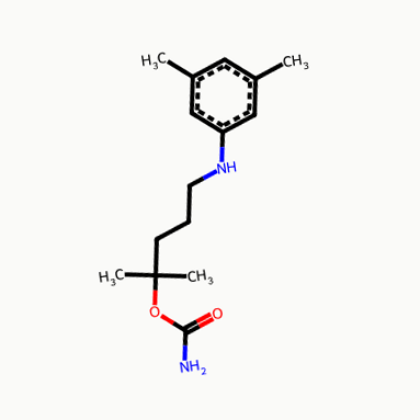 Cc1cc(C)cc(NCCCC(C)(C)OC(N)=O)c1